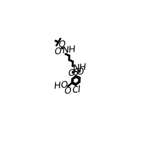 CC(C)(C)OC(=O)NCCCCCNS(=O)(=O)c1ccc(Cl)c(C(=O)O)c1